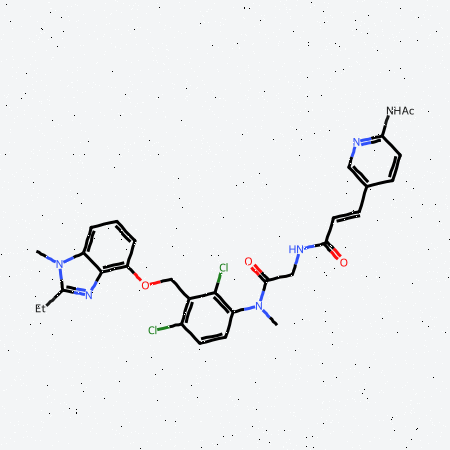 CCc1nc2c(OCc3c(Cl)ccc(N(C)C(=O)CNC(=O)C=Cc4ccc(NC(C)=O)nc4)c3Cl)cccc2n1C